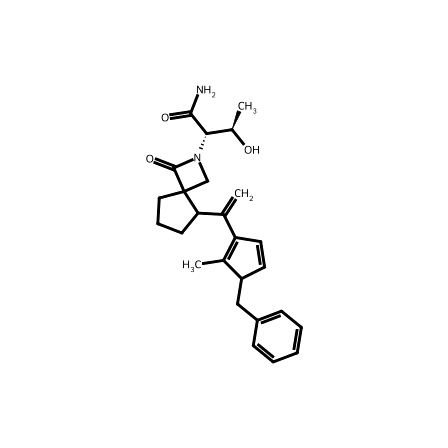 C=C(C1=C(C)C(Cc2ccccc2)C=C1)C1CCCC12CN([C@H](C(N)=O)[C@@H](C)O)C2=O